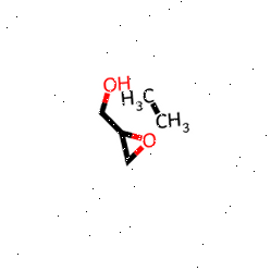 CC.OCC1CO1